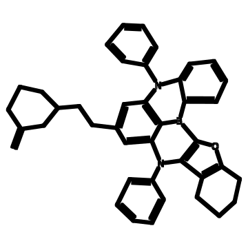 C=C1CCCC(CCc2cc3c4c(c2)N(c2ccccc2)c2c(oc5c2CCCC5)B4c2ccccc2N3c2ccccc2)C1